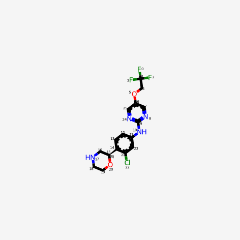 FC(F)(F)COc1cnc(Nc2ccc([C@@H]3CNCCO3)c(Cl)c2)nc1